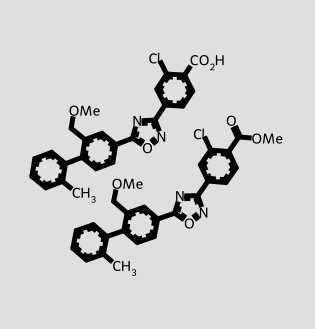 COCc1cc(-c2nc(-c3ccc(C(=O)O)c(Cl)c3)no2)ccc1-c1ccccc1C.COCc1cc(-c2nc(-c3ccc(C(=O)OC)c(Cl)c3)no2)ccc1-c1ccccc1C